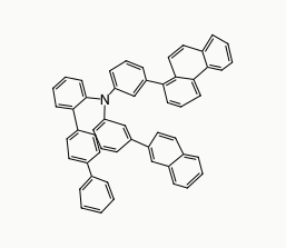 c1ccc(-c2ccc(-c3ccccc3N(c3cccc(-c4ccc5ccccc5c4)c3)c3cccc(-c4cccc5c4ccc4ccccc45)c3)cc2)cc1